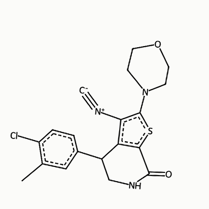 [C-]#[N+]c1c(N2CCOCC2)sc2c1C(c1ccc(Cl)c(C)c1)CNC2=O